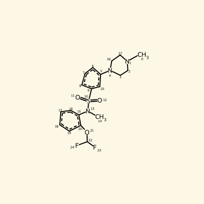 CN1CCN(c2cccc(S(=O)(=O)N(C)c3ccccc3OC(F)F)c2)CC1